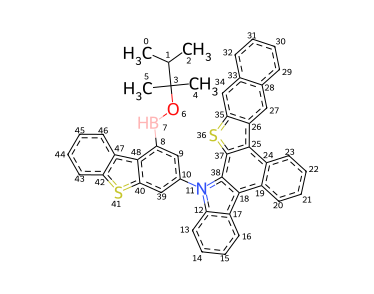 CC(C)C(C)(C)OBc1cc(-n2c3ccccc3c3c4ccccc4c4c5cc6ccccc6cc5sc4c32)cc2sc3ccccc3c12